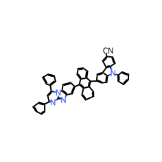 N#Cc1ccc2c(c1)c1cc(-c3c4ccccc4c(-c4ccc5c(c4)nc4nc(-c6ccccc6)cc(-c6ccccc6)n45)c4ccccc34)ccc1n2-c1ccccc1